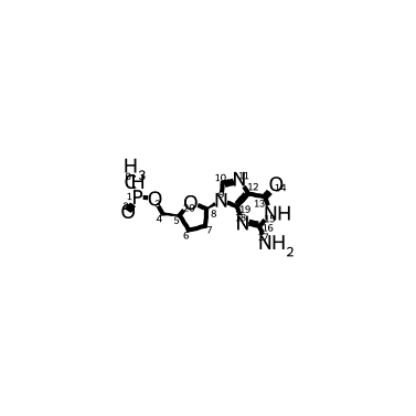 C[PH](=O)OC[C@@H]1CC[C@H](n2cnc3c(=O)[nH]c(N)nc32)O1